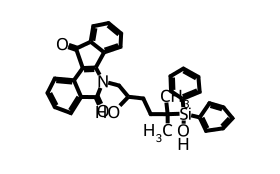 CC(C)(CCC(O)Cn1c2c(c3ccccc3c1=O)C(=O)c1ccccc1-2)[Si](O)(c1ccccc1)c1ccccc1